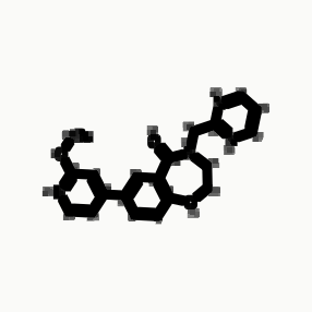 CC(C)(C)Oc1cc(-c2ccc3c(c2)C(=O)N(Cc2ncccn2)CCO3)ccn1